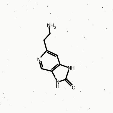 NCCc1cc2[nH]c(=O)[nH]c2cn1